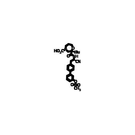 CC(C)(C)[C@@]1(C(=O)N[C@H](C#N)Cc2ccc(-c3cccc(OS(C)(=O)=O)c3)cc2)CN(C(=O)O)CCCO1